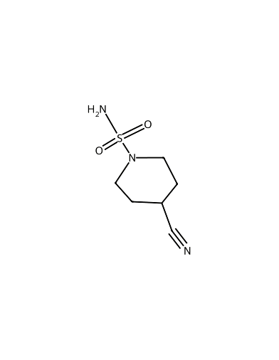 N#CC1CCN(S(N)(=O)=O)CC1